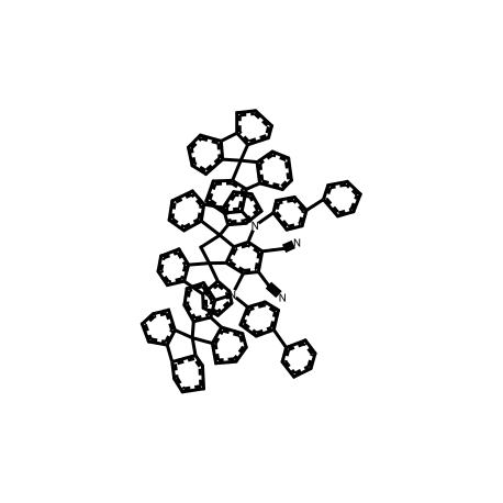 N#Cc1c(C#N)c(N(c2ccc(-c3ccccc3)cc2)c2cccc3c2-c2ccccc2C32c3ccccc3-c3ccccc32)c2c(c1N(c1ccc(-c3ccccc3)cc1)c1cccc3c1-c1ccccc1C31c3ccccc3-c3ccccc31)C1(CC23c2ccccc2-c2ccccc23)c2ccccc2-c2ccccc21